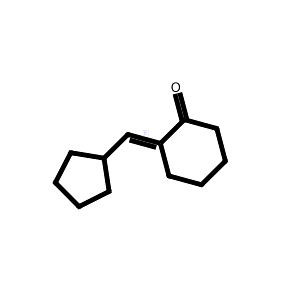 O=C1CCCC/C1=C\C1CCCC1